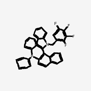 Fc1cc(Cn2c(-c3c(P(c4ccccc4)c4ccccc4)ccc4ccccc34)nc3ccccc32)c(F)c(F)c1F